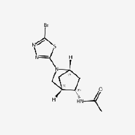 CC(=O)N[C@H]1C[C@@H]2C[C@H]1CN2c1nnc(Br)s1